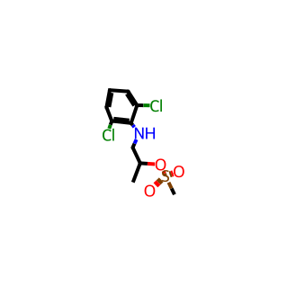 CC(CNc1c(Cl)cccc1Cl)OS(C)(=O)=O